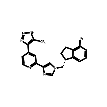 CC(C)c1cccc2c1CC[C@H]2Cn1cnc(-c2cc(-c3nn[nH]c3C(F)(F)F)ccn2)c1